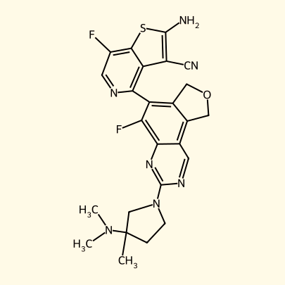 CN(C)C1(C)CCN(c2ncc3c4c(c(-c5ncc(F)c6sc(N)c(C#N)c56)c(F)c3n2)COC4)C1